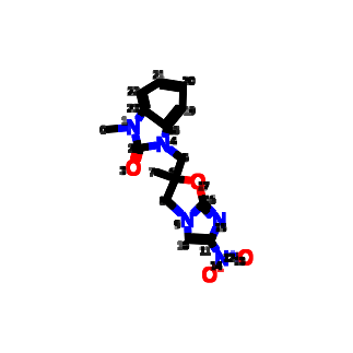 Cn1c(=O)n(CC2(C)Cn3cc([N+](=O)[O-])nc3O2)c2ccccc21